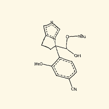 CCCCOC(O)C1(c2ccc(C#N)cc2OC)CCc2cncn21